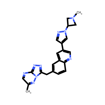 Cc1cnc2nnc(Cc3ccc4ncc(-c5cnn(C6CN(C)C6)c5)cc4c3)n2n1